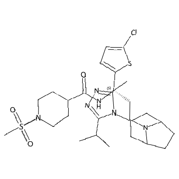 Cc1nnc(C(C)C)n1C1CC2CCC(C1)N2CC[C@H](NC(=O)C1CCN(S(C)(=O)=O)CC1)c1ccc(Cl)s1